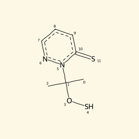 CC(C)(OS)n1ncccc1=S